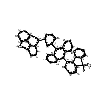 CCC1(C)c2ccccc2-c2c(-c3c4ccccc4c(-c4cccc(-c5cc6cccc7oc8cccc5c8c67)c4)c4ccccc34)cccc21